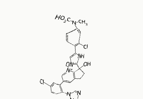 CN(C(=O)O)c1ccc(-c2cnc(C3(O)CCc4cc(-c5cc(Cl)ccc5-n5cnnn5)c[n+]([O-])c43)[nH]2)c(Cl)c1